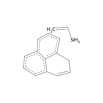 C1=Cc2cccc3cccc(c23)C1.C=C[SiH3]